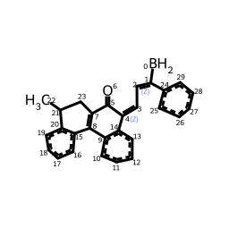 B/C(=C/C=C1\C(=O)C2=C(c3ccccc31)c1ccccc1C(C)C2)c1ccccc1